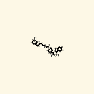 O=C(NC(C(=O)O)C1(O)CCN(C(=O)NCCCc2ccc3c(n2)NCCC3)CC1)c1ccccc1